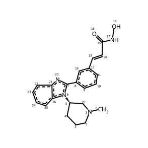 CN1CCC[C@@H](n2c(-c3cccc(C=CC(=O)NO)c3)nc3ccccc32)C1